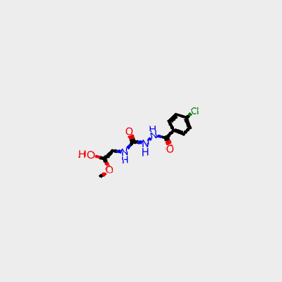 COC(O)CNC(=O)NNC(=O)c1ccc(Cl)cc1